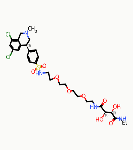 CCNC(=O)[C@H](O)[C@@H](O)C(=O)NCCOCCOCCOCCNS(=O)(=O)c1ccc([C@@H]2CN(C)Cc3c(Cl)cc(Cl)cc32)cc1